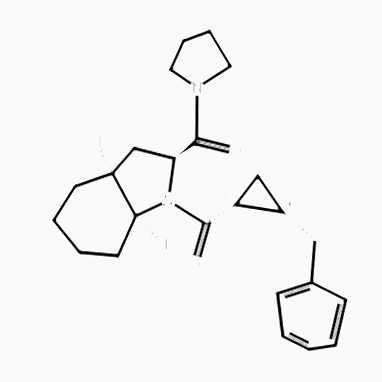 O=C([C@@H]1C[C@@H]2CCCC[C@@H]2N1C(=O)[C@@H]1C[C@@H]1Cc1ccccc1)N1CCCC1